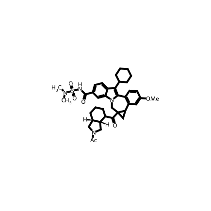 COc1ccc2c(c1)C1CC1(C(=O)C1CCC[C@H]3CN(C(C)=O)C[C@@H]13)Cn1c-2c(C2CCCCC2)c2ccc(C(=O)NS(=O)(=O)N(C)C)cc21